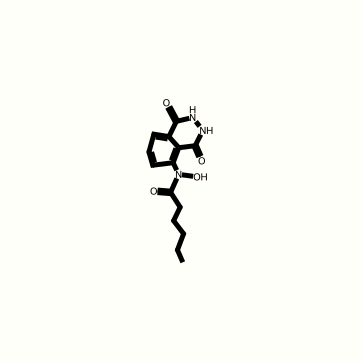 CCCCCC(=O)N(O)c1cccc2c(=O)[nH][nH]c(=O)c12